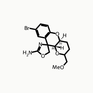 COCC1CC[C@@H]2Oc3ccc(Br)cc3C3(COC(N)=N3)[C@H]2O1